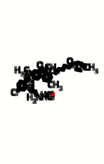 COc1cc(C(=O)N(C)c2ccc(C)cc2OCCCCCC(=O)N2CCN(C)CC2)ccc1NC(=O)c1ccc(Cl)cc1OCCCN.Cl.Cl